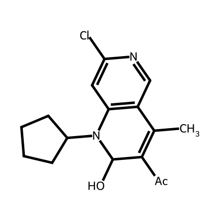 CC(=O)C1=C(C)c2cnc(Cl)cc2N(C2CCCC2)C1O